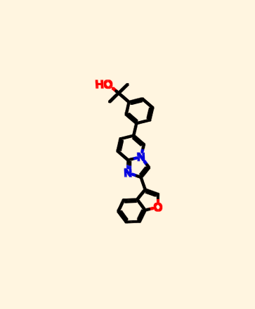 CC(C)(O)c1cccc(-c2ccc3nc(-c4coc5ccccc45)cn3c2)c1